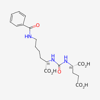 O=C(O)CC[C@H](NC(=O)N[C@@H](CCCCNC(=O)c1ccccc1)C(=O)O)C(=O)O